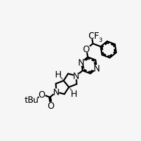 CC(C)(C)OC(=O)N1C[C@@H]2CN(c3cncc(OC(c4ccccc4)C(F)(F)F)n3)C[C@@H]2C1